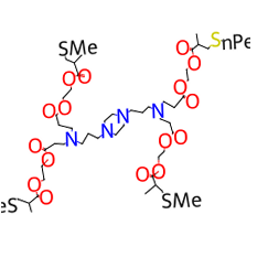 CCCCCSCC(C)C(=O)OCCOC(=O)CCN(CCCN1CCN(CCCN(CCC(=O)OCCOC(=O)C(C)CSC)CCC(=O)OCCOC(=O)C(C)CSC)CC1)CCC(=O)OCCOC(=O)C(C)CSC